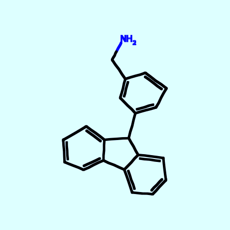 NCc1cccc(C2c3ccccc3-c3ccccc32)c1